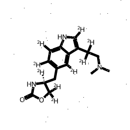 [2H]c1[nH]c2c([2H])c([2H])c(C[C@]3([2H])NC(=O)OC3([2H])[2H])c([2H])c2c1C([2H])([2H])CN(C)C